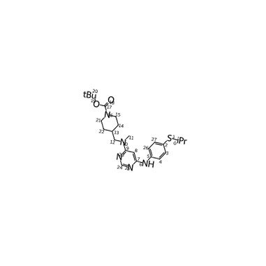 CC(C)Sc1ccc(Nc2cc(N(C)CC3CCN(C(=O)OC(C)(C)C)CC3)ncn2)cc1